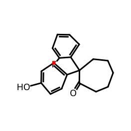 O=C1CCCCCC1(c1ccc(O)cc1)c1ccccc1F